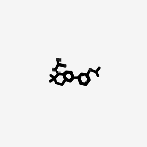 CC(C)Oc1cccc(-c2ccc3c(c2)CCC(C)(C)[C@@H]3NC(=O)O)c1